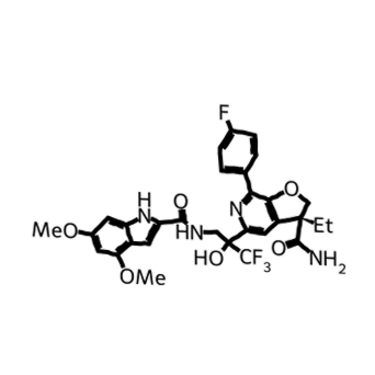 CC[C@]1(C(N)=O)COc2c1cc(C(O)(CNC(=O)c1cc3c(OC)cc(OC)cc3[nH]1)C(F)(F)F)nc2-c1ccc(F)cc1